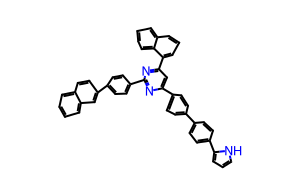 c1c[nH]c(-c2ccc(-c3ccc(-c4cc(-c5cccc6ccccc56)nc(-c5ccc(-c6ccc7ccccc7c6)cc5)n4)cc3)cc2)c1